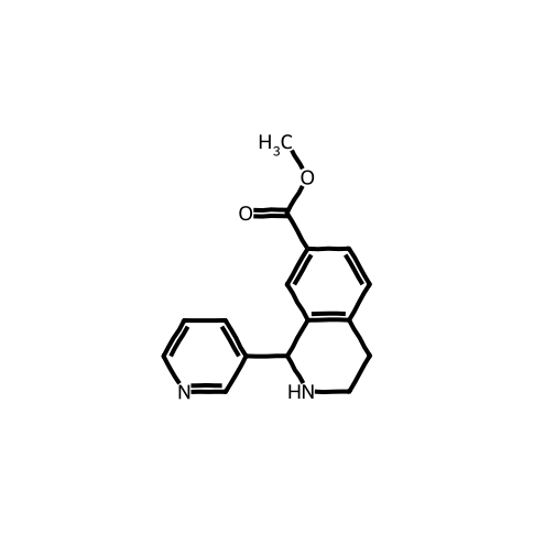 COC(=O)c1ccc2c(c1)C(c1cccnc1)NCC2